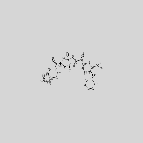 O=C(c1cnc(OC2CCCOC2)c(C2CC2)c1)N1C[C@@H]2CN(C(=O)C3CCc4[nH]nnc4C3)C[C@H]2C1